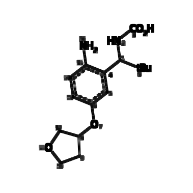 CC(C)(C)C(NC(=O)O)c1cc(OC2CCOC2)ccc1N